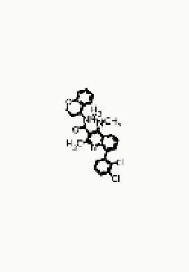 Cc1nc2c(-c3cccc(Cl)c3Cl)cccc2c(N(C)C)c1C(=O)N[C@H]1CCOc2ccccc21